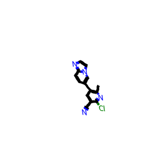 Cc1nc(Cl)c(C#N)cc1-c1ccc2nccn2c1